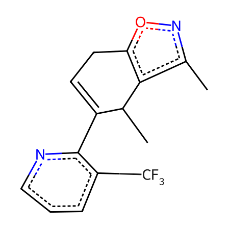 Cc1noc2c1C(C)C(c1ncccc1C(F)(F)F)=CC2